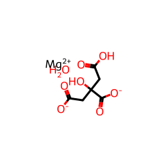 O.O=C([O-])CC(O)(CC(=O)O)C(=O)[O-].[Mg+2]